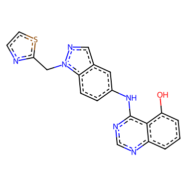 Oc1cccc2ncnc(Nc3ccc4c(cnn4Cc4nccs4)c3)c12